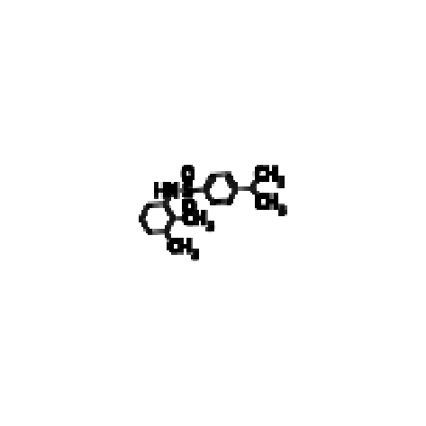 CC(C)c1ccc(S(=O)(=O)NC2CCCC(C)C2C)cc1